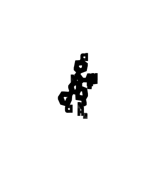 Cn1cncc1-c1c(-c2ccc(Cl)cc2)nc2cc(-c3cccc(Cl)c3)c3cc(CN)ccc3n12